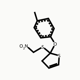 Cc1ccc(OC2(SC[N+](=O)[O-])CC=CS2)cc1